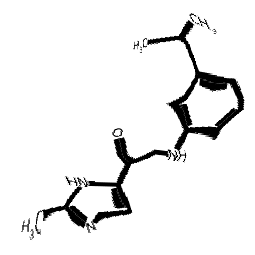 Cc1ncc(C(=O)Nc2cccc(C(C)C)c2)[nH]1